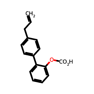 C=CCc1ccc(-c2ccccc2OC(=O)O)cc1